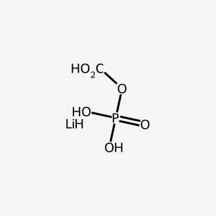 O=C(O)OP(=O)(O)O.[LiH]